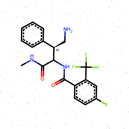 CNC(=O)C(NC(=O)c1ccc(F)cc1C(F)(F)F)[C@H](CN)c1ccccc1